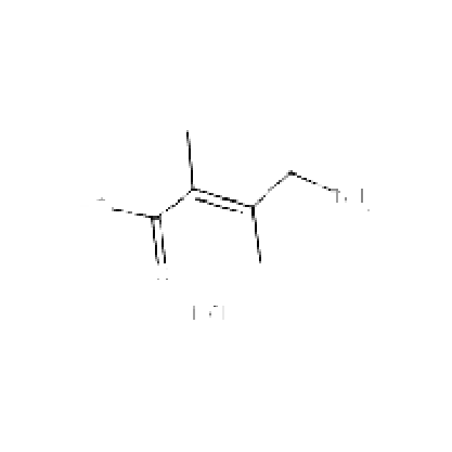 C/C(CN)=C(/C)C(=O)O.Cl